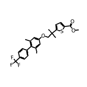 COC(=O)c1ccc(C(C)(C)COc2cc(C)c(-c3ccc(C(F)(F)F)cc3)c(C)c2)s1